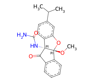 CO[C@]12Oc3cc(C(C)C)ccc3[C@]1(NC(N)=O)C(=O)c1ccccc12